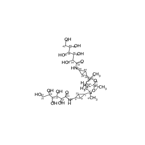 C[Si](C)(O[Si](C)(C)C1C2C(NC(=O)C(O)C(O)C(O)C(O)CO)C21)O[Si](C)(C)C1C2C(NC(=O)C(O)C(O)C(O)C(O)CO)C21